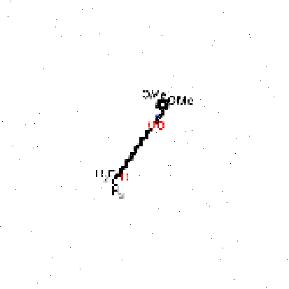 C=C(C)C(=O)CCCCCCCCCCCCOC(=O)/C=C/c1ccc(OC)c(OC)c1